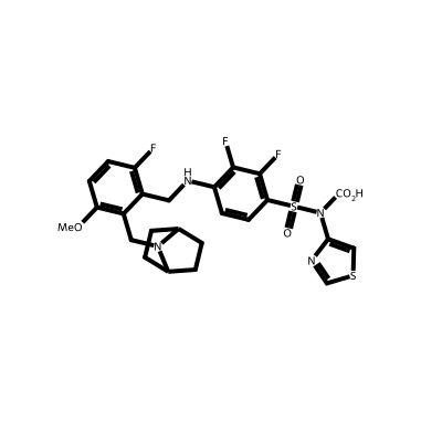 COc1ccc(F)c(CNc2ccc(S(=O)(=O)N(C(=O)O)c3cscn3)c(F)c2F)c1CN1C2CCC1CC2